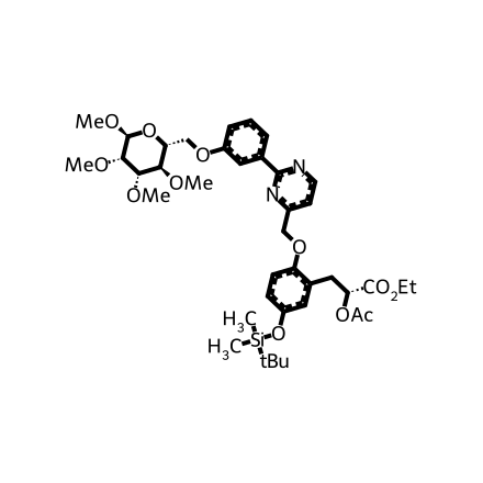 CCOC(=O)[C@@H](Cc1cc(O[Si](C)(C)C(C)(C)C)ccc1OCc1ccnc(-c2cccc(OC[C@H]3O[C@H](OC)[C@@H](OC)[C@@H](OC)[C@@H]3OC)c2)n1)OC(C)=O